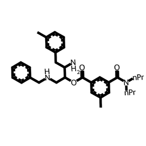 CCCN(CCC)C(=O)c1cc(C)cc(C(=O)OC(CNCc2ccccc2)C(N)Cc2cccc(C)c2)c1